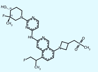 CC(CF)c1ccc(N2CC(CS(C)(=O)=O)C2)c2cnc(Nc3ccnc(N4CC[C@@H](O)[C@@](C)(F)C4)n3)cc12